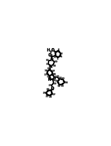 Cc1ccccc1C(=O)N1CCN(c2ccc3nc(CCOc4ccccc4)n(Cc4ccccc4)c3c2)CC1